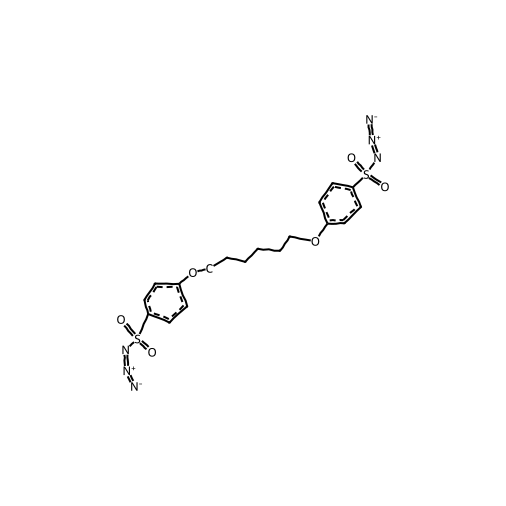 [N-]=[N+]=NS(=O)(=O)c1ccc(OCCCCCCOc2ccc(S(=O)(=O)N=[N+]=[N-])cc2)cc1